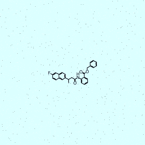 CC(CC(=O)Nc1ccccc1C(=O)OCc1ccccc1)c1ccc2cc(F)ccc2c1